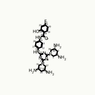 N[C@@H]1C[C@H](N)CN(c2nc(Nc3ccc(NC(=O)c4ccc(F)cc4O)cc3)nc(N3C[C@H](N)C[C@H](N)C3)n2)C1